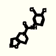 O=C(Nc1ccc(Cl)c(Cl)c1)N1CCc2oncc2C1